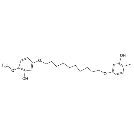 Cc1ccc(OCCCCCCCCCCOc2ccc(OC(F)(F)F)c(O)c2)cc1O